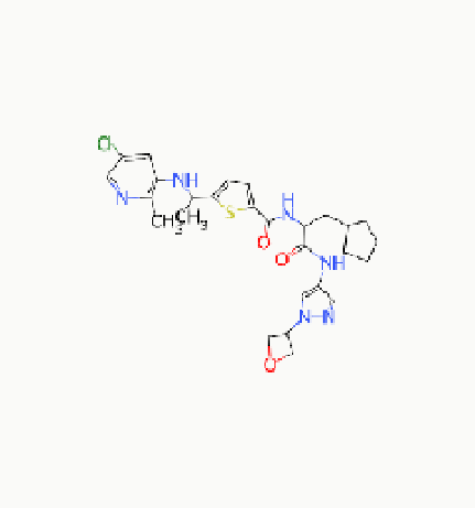 Cc1ncc(Cl)cc1NC(C)c1ccc(C(=O)NC(CC2CCCC2)C(=O)Nc2cnn(C3COC3)c2)s1